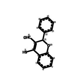 O=CC1=C(S)c2ccccc2OC1c1ccccc1